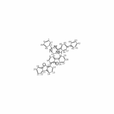 c1ccc(C2=NC(c3ccc(-c4cccc5c4oc4ccccc45)c4oc5ccccc5c34)NC(c3ccc(-c4ccccc4)cc3)=N2)cc1